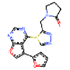 O=C1CCCN1CC1=NN=C[SH]1c1ncnc2occ(-c3ccco3)c12